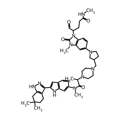 CNC(=O)CCC(C=O)n1c(=O)n(C)c2cc(N3CCC(CN4CCN(C(C)C(=O)N(C)c5ccc6cc(-c7n[nH]c8c7CCC(C)(C)C8)[nH]c6c5)CC4)C3)ccc21